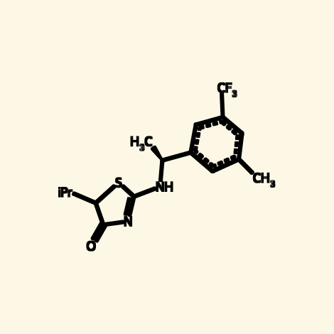 Cc1cc([C@H](C)NC2=NC(=O)C(C(C)C)S2)cc(C(F)(F)F)c1